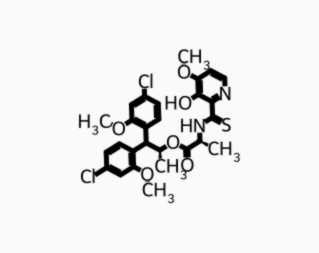 COc1cc(Cl)ccc1C(c1ccc(Cl)cc1OC)[C@H](C)OC(=O)[C@H](C)NC(=S)c1nccc(OC)c1O